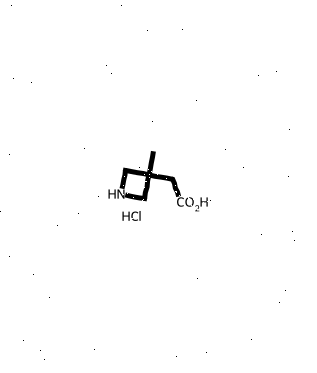 CC1(CC(=O)O)CNC1.Cl